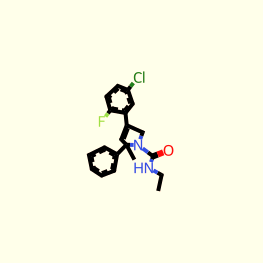 CCNC(=O)N1CC(c2cc(Cl)ccc2F)=CC1(C)c1ccccc1